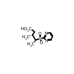 C[C@H](CC(=O)O)[C@H](C)S(=O)(=O)c1ncccn1